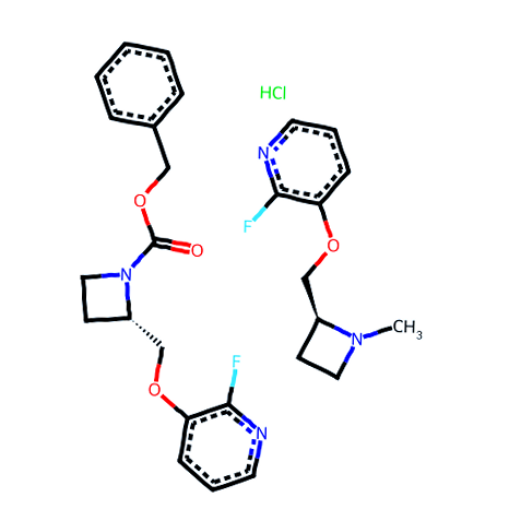 CN1CC[C@H]1COc1cccnc1F.Cl.O=C(OCc1ccccc1)N1CC[C@H]1COc1cccnc1F